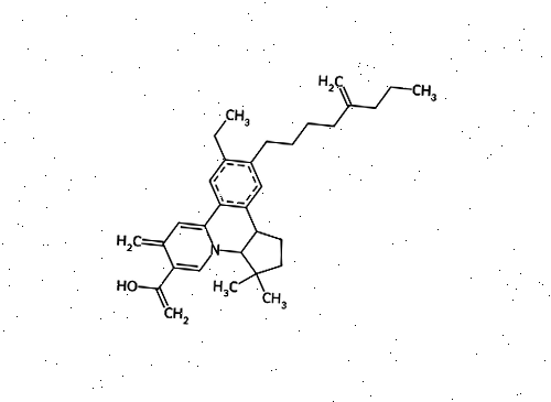 C=C(CCC)CCCCc1cc2c(cc1CC)C1=CC(=C)C(C(=C)O)=CN1C1C2CCC1(C)C